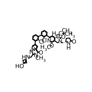 COc1nc(-c2cccc(-c3cccc(-c4cc5c(=O)n(C)c(CNC67CC(O)(C6)C7)nn5c4)c3Cl)c2Cl)ccc1CN(C[C@@H]1CCC(=O)N1)C(=O)OC(C)(C)C